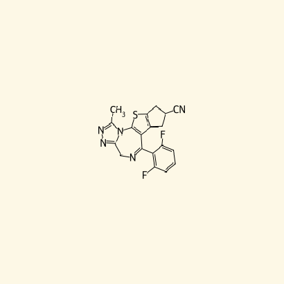 Cc1nnc2n1-c1sc3c(c1C(c1c(F)cccc1F)=NC2)CC(C#N)C3